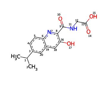 CC(C)c1ccc2nc(C(=O)NCC(=O)O)c(O)cc2c1